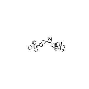 C=C1C=CC(c2cncc(-c3ccc4cc(-c5c6ccccc6c(-c6ccccc6)c6ccccc56)ccc4c3)c2)=CC1C